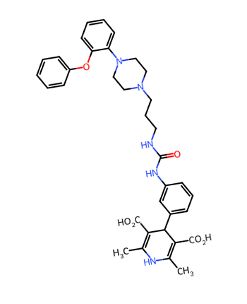 CC1=C(C(=O)O)C(c2cccc(NC(=O)NCCCN3CCN(c4ccccc4Oc4ccccc4)CC3)c2)C(C(=O)O)=C(C)N1